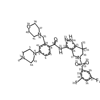 CN1CCN(c2ccc(C(=O)Nc3n[nH]c4c3CN(S(=O)(=O)c3cc(F)cc(F)c3)CC4(C)C)c(CN3CCOCC3)c2)CC1